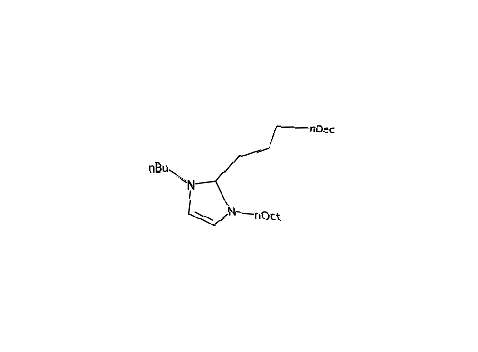 CCCCCCCCCCCCCC1N(CCCC)C=CN1CCCCCCCC